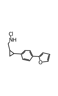 ClNCC1CC1c1ccc(-c2ccco2)cc1